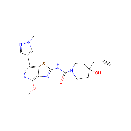 C#CCC1(O)CCN(C(=O)Nc2nc3c(OC)ncc(-c4cnn(C)c4)c3s2)CC1